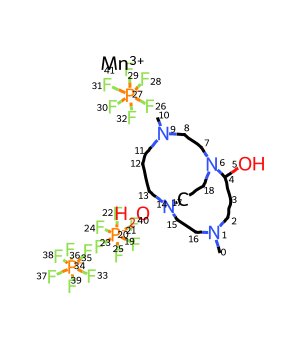 CN1CCC(O)N2CCN(C)CCCN(CC1)CC2.F[P-](F)(F)(F)(F)F.F[P-](F)(F)(F)(F)F.F[P-](F)(F)(F)(F)F.O.[Mn+3]